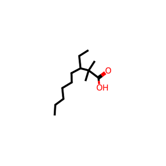 CCCCCCC(CC)C(C)(C)C(=O)O